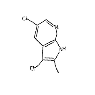 Cc1[nH]c2ncc(Cl)cc2c1Cl